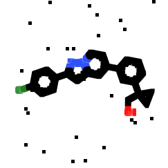 OCC1(c2cccc(-c3ccn4nc(-c5ccc(Cl)cc5)cc4c3)c2)CC1